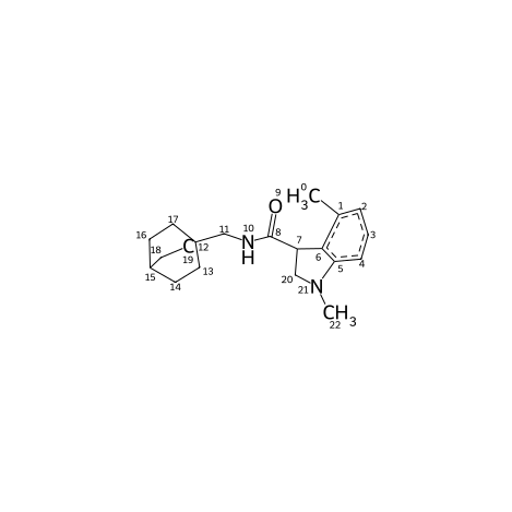 Cc1cccc2c1C(C(=O)NCC13CCC(CC1)CC3)CN2C